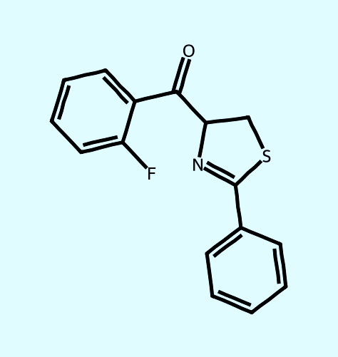 O=C(c1ccccc1F)C1CSC(c2ccccc2)=N1